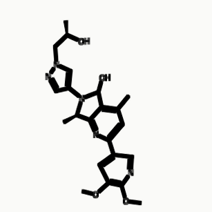 COc1cc(-c2cc(C)c3c(n2)[C@@H](C)N(c2cnn(C[C@@H](C)O)c2)C3O)cnc1OC